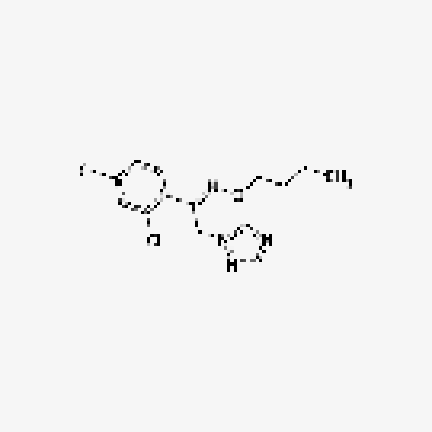 CCCCON=C(Cn1cncn1)c1ccc(Cl)cc1Cl